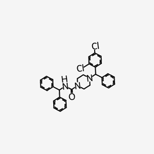 O=C(NC(c1ccccc1)c1ccccc1)N1CCN(C(c2ccccc2)c2ccc(Cl)cc2Cl)CC1